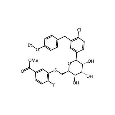 CCOc1ccc(Cc2cc([C@@H]3O[C@H](CSc4cc(C(=O)OC)ccc4F)[C@H](O)[C@@H](O)[C@H]3O)ccc2Cl)cc1